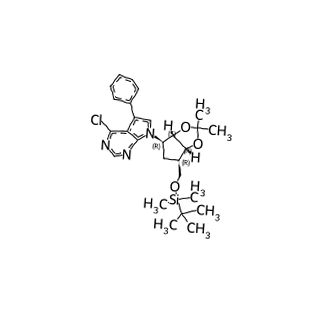 CC1(C)O[C@@H]2[C@@H](CO[Si](C)(C)C(C)(C)C)C[C@@H](n3cc(-c4ccccc4)c4c(Cl)ncnc43)[C@@H]2O1